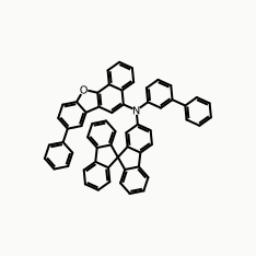 c1ccc(-c2cccc(N(c3ccc4c(c3)C3(c5ccccc5-c5ccccc53)c3ccccc3-4)c3cc4c5cc(-c6ccccc6)ccc5oc4c4ccccc34)c2)cc1